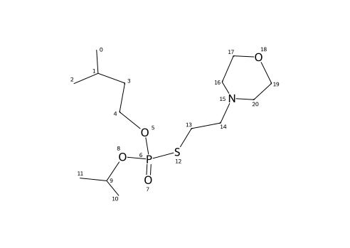 CC(C)CCOP(=O)(OC(C)C)SCCN1CCOCC1